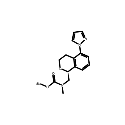 CN(C[C@H]1OCCc2c1cccc2-n1cccn1)C(=O)OC(C)(C)C